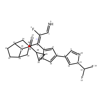 N=C/C(F)=C(\c1cc(-c2cnn(C(F)F)c2)c[nH]1)N1CC2CCC(C1)N2C(=O)C1CC1